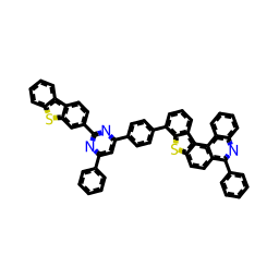 c1ccc(-c2cc(-c3ccc(-c4cccc5c4sc4ccc6c(-c7ccccc7)nc7ccccc7c6c45)cc3)nc(-c3ccc4c(c3)sc3ccccc34)n2)cc1